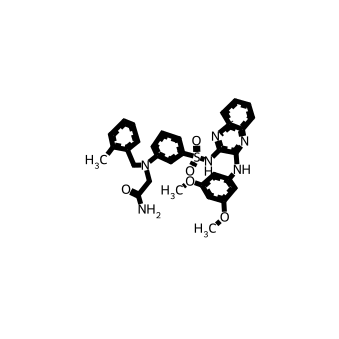 COc1cc(Nc2nc3ccccc3nc2NS(=O)(=O)c2cccc(N(CC(N)=O)Cc3ccccc3C)c2)cc(OC)c1